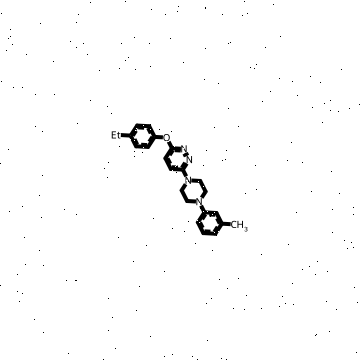 CCc1ccc(Oc2ccc(N3CCN(c4cccc(C)c4)CC3)nn2)cc1